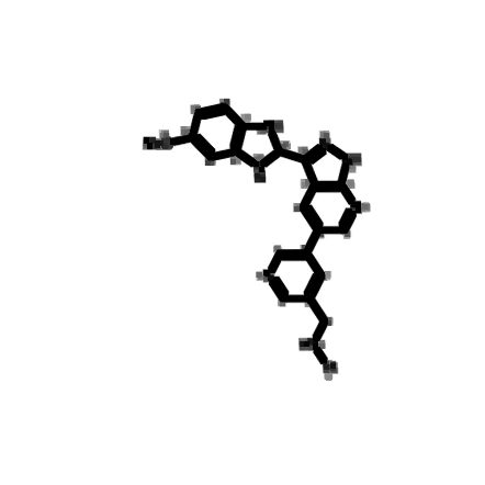 CCNCc1cncc(-c2cnc3[nH]nc(C4Nc5ccc(OC)cc5N4)c3c2)c1